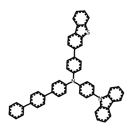 c1ccc(-c2ccc(-c3ccc(N(c4ccc(-c5ccc6c(c5)sc5ccccc56)cc4)c4ccc(-n5c6ccccc6c6ccccc65)cc4)cc3)cc2)cc1